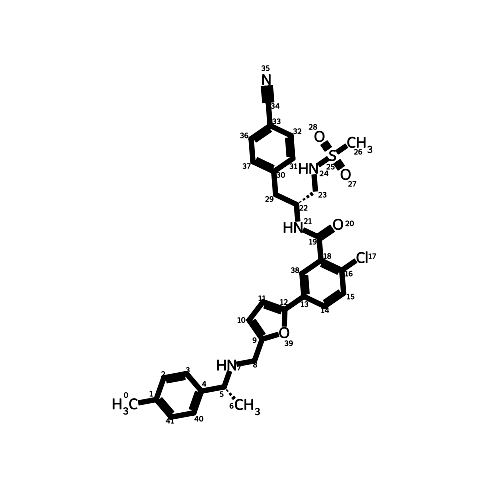 Cc1ccc([C@@H](C)NCc2ccc(-c3ccc(Cl)c(C(=O)N[C@@H](CNS(C)(=O)=O)Cc4ccc(C#N)cc4)c3)o2)cc1